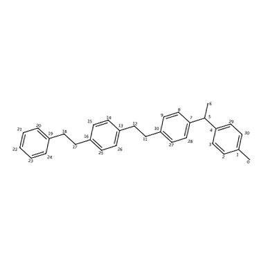 Cc1ccc(C(C)c2ccc(CCc3ccc(CCc4ccccc4)cc3)cc2)cc1